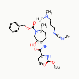 CC(C)C[C@H](NC(=O)OC(C)(C)C)C(=O)N[C@H]1CC[C@@H](C)N(C(=O)OCc2ccccc2)C[C@@H]1O.CCN=C=NCCCN(C)C